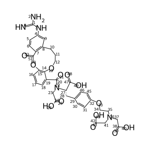 N=C(N)Nc1ccc2c(c1)CCCOc1c(cccc1C(=O)N(CC(=O)O)[C@@H](Cc1ccc(OCCN(CC(=O)O)CC(=O)O)cc1)C(=O)O)OC2=O